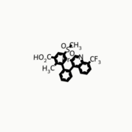 Cc1c(C(=O)O)cc(S(C)(=O)=O)cc1-c1ccccc1-c1c(C(C)C)cnc2c(C(F)(F)F)cccc12